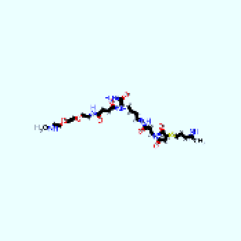 CNCCOCCOCCNC(=O)CCC(=O)N[C@@H](CCCCNC(=O)CCN1C(=O)CC(SCCCC(C)=N)C1=O)C(N)=O